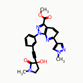 COC(=O)c1nn(-c2cccc(C#C[C@]3(O)CCN(C)C3=O)c2)c2nc(-c3cnn(C)c3)ccc12